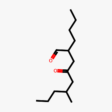 CCCCC(C=O)CC(=O)CC(C)CCC